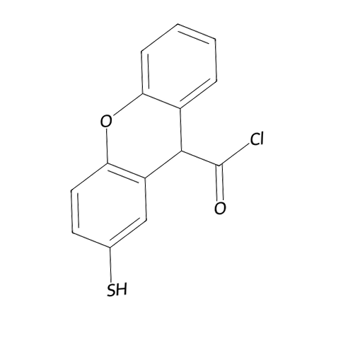 O=C(Cl)C1c2ccccc2Oc2ccc(S)cc21